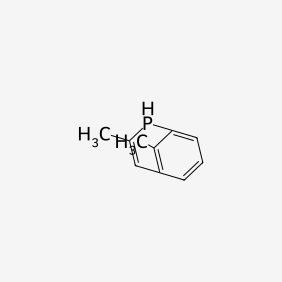 CC1=Cc2cccc(c2C)P1